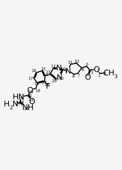 CCOC(=O)CC1CCN(c2ncc(-c3cccc(COC(=O)NC(=N)N)c3F)cn2)CC1